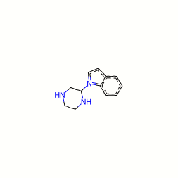 c1ccc2c(c1)ccn2C1CNCCN1